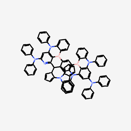 C1=CC(C2c3cc4c(cc3B3c5ccccc5N(c5ccccc5)c5cc(N(c6ccccc6)c6ccccc6)nc2c53)B2c3ccccc3N(c3ccccc3)c3cc(N(c5ccccc5)c5ccccc5)cc(c32)N4c2ccccc2)C(n2c3ccccc3c3ccccc32)=C1